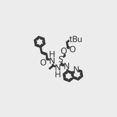 CC(NC(=O)/C=C/c1ccccc1)N/C(=N\c1cccc2cccnc12)SCOC(=O)CC(C)(C)C